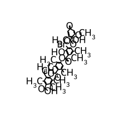 CCc1c(C)c(C(=O)O)c(C)c(C)c1OC(=O)c1c(C)cc(OC(=O)c2c(C)c(C)c(OC(=O)[C@@]3(O)C(C)=CC(=O)C=C3OC)c(Br)c2O)c(C)c1C